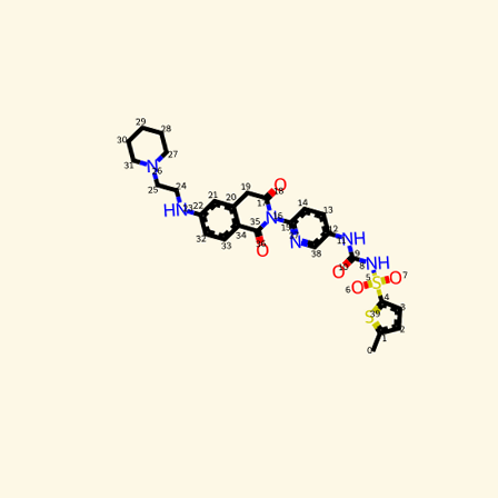 Cc1ccc(S(=O)(=O)NC(=O)Nc2ccc(N3C(=O)Cc4cc(NCCN5CCCCC5)ccc4C3=O)nc2)s1